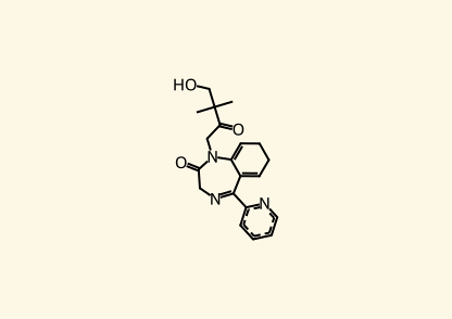 CC(C)(CO)C(=O)CN1C(=O)CN=C(c2ccccn2)C2=CCCC=C21